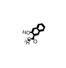 [2H]OC(=O)c1cc2ccccc2cc1O